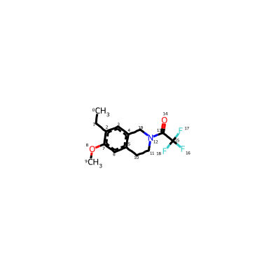 CCc1cc2c(cc1OC)CCN(C(=O)C(F)(F)F)C2